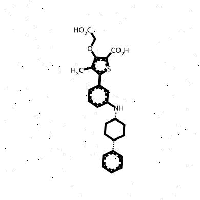 Cc1c(-c2cccc(N[C@H]3CC[C@@H](c4ccccc4)CC3)c2)sc(C(=O)O)c1OCC(=O)O